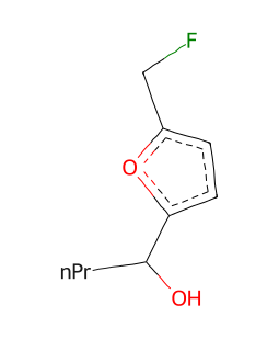 CCCC(O)c1ccc(CF)o1